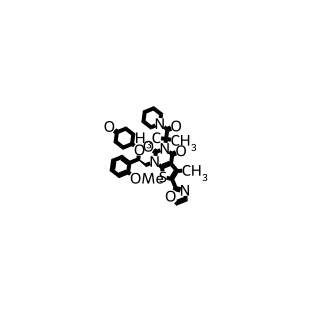 COc1ccccc1[C@H](Cn1c(=O)n(C(C)(C)C(=O)N2CCCCC2)c(=O)c2c(C)c(-c3ncco3)sc21)OC1CCC(=O)CC1